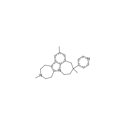 Cc1cc2c3c(c1)c1c(n3CCC(C)(c3ccncc3)C2)CCN(C)CC1